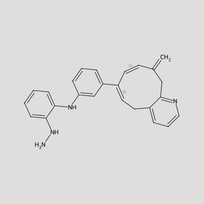 C=C1/C=C\C(c2cccc(Nc3ccccc3NN)c2)=C/Cc2cccnc2C1